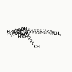 C#CCCCCCCCCC(=O)N(CCCCCCCCCCCCCCCCCC)C[C@H]1O[C@H](OC)[C@H](NC(=O)OC(C)(C)C)[C@@H](O)[C@@H]1O